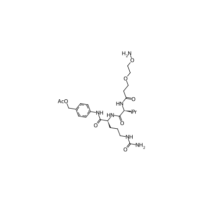 CC(=O)OCc1ccc(NC(=O)[C@H](CCCNC(N)=O)NC(=O)[C@@H](NC(=O)CCOCCON)C(C)C)cc1